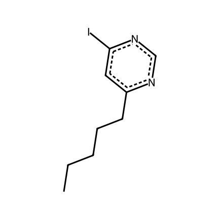 CCCCCc1cc(I)ncn1